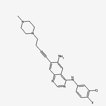 CN1CCN(CCC#Cc2cc3ncnc(Nc4ccc(F)c(Cl)c4)c3cc2N)CC1